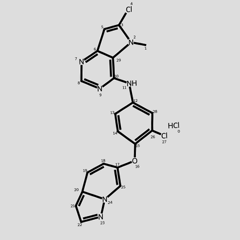 Cl.Cn1c(Cl)cc2ncnc(Nc3ccc(Oc4ccc5ccnn5c4)c(Cl)c3)c21